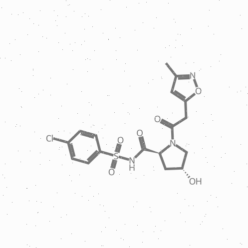 Cc1cc(CC(=O)N2C[C@H](O)C[C@H]2C(=O)NS(=O)(=O)c2ccc(Cl)cc2)on1